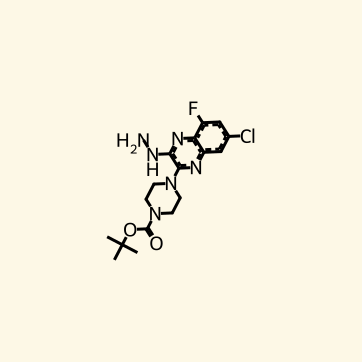 CC(C)(C)OC(=O)N1CCN(c2nc3cc(Cl)cc(F)c3nc2NN)CC1